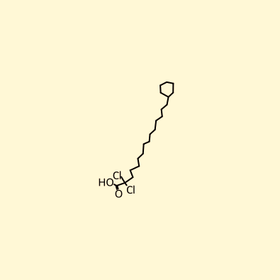 O=C(O)C(Cl)(Cl)CCCCCCCCCCCCCC1CCCCC1